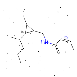 C=C(/C=C\C)NCC1C(C)[C@H]1C(C)CCC